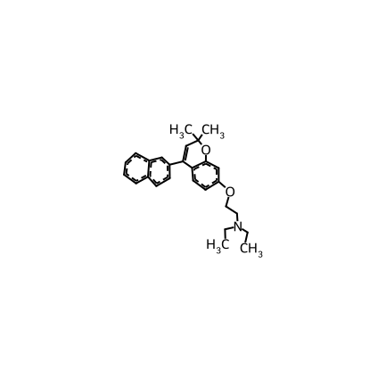 CCN(CC)CCOc1ccc2c(c1)OC(C)(C)C=C2c1ccc2ccccc2c1